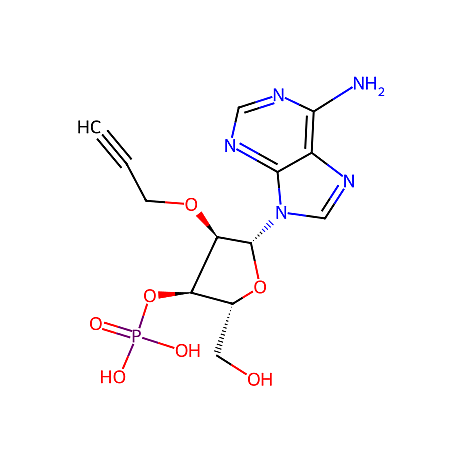 C#CCO[C@@H]1[C@H](OP(=O)(O)O)[C@@H](CO)O[C@H]1n1cnc2c(N)ncnc21